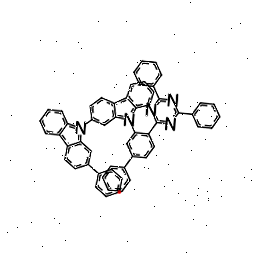 c1ccc(-c2ccc(-c3nc(-c4ccccc4)nc(-c4ccccc4)n3)c(-n3c4ccccc4c4ccc(-n5c6ccccc6c6ccc(-c7ccccc7)cc65)cc43)c2)cc1